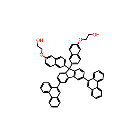 OCCOc1ccc2cc(C3(c4ccc5cc(OCCO)ccc5c4)c4ccc(-c5cc6ccccc6c6ccccc56)cc4-c4cc(-c5cc6ccccc6c6ccccc56)ccc43)ccc2c1